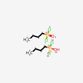 CCCCP(=O)(Cl)Cl.CCCC[PH](O)(Cl)Cl